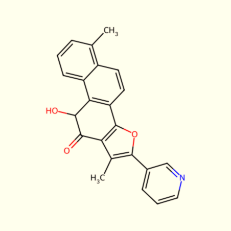 Cc1c(-c2cccnc2)oc2c1C(=O)C(O)c1c-2ccc2c(C)cccc12